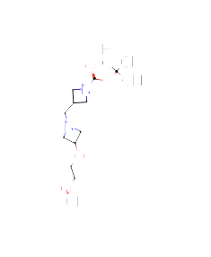 COCCOC1CN(CC2CN(C(=O)OC(C)(C)C)C2)C1